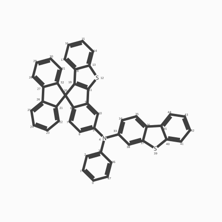 c1ccc(N(c2ccc3c(c2)-c2sc4ccccc4c2C32c3ccccc3-c3ccccc32)c2ccc3c(c2)sc2ccccc23)cc1